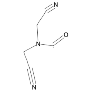 N#CCN([C]=O)CC#N